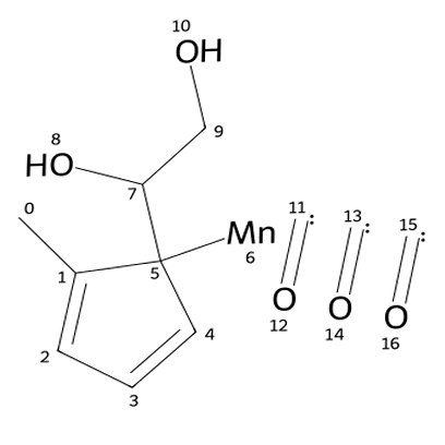 CC1=CC=C[C]1([Mn])C(O)CO.[C]=O.[C]=O.[C]=O